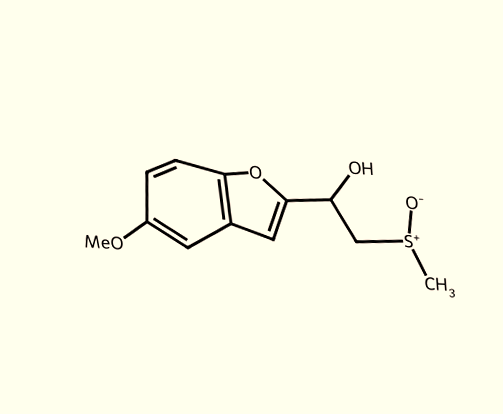 COc1ccc2oc(C(O)C[S+](C)[O-])cc2c1